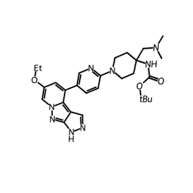 CCOc1cc(-c2ccc(N3CCC(CN(C)C)(NC(=O)OC(C)(C)C)CC3)nc2)c2c3cn[nH]c3nn2c1